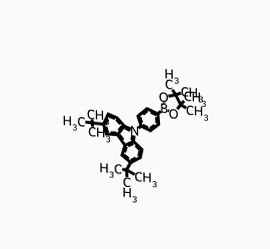 CC(C)(C)c1ccc2c(c1)c1cc(C(C)(C)C)ccc1n2-c1ccc(B2OC(C)(C)C(C)(C)O2)cc1